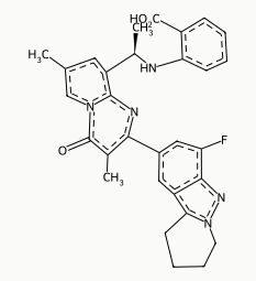 Cc1cc([C@@H](C)Nc2ccccc2C(=O)O)c2nc(-c3cc(F)c4nn5c(c4c3)CCCC5)c(C)c(=O)n2c1